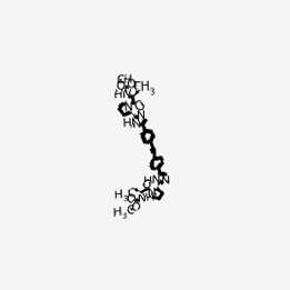 CC[C@H](NC(=O)OC)C(=O)N1CCC[C@H]1c1ncc(-c2ccc(C#Cc3ccc(-c4cnc([C@@H]5CCCN5C(=O)[C@H](CC)NC(=O)OC)[nH]4)cc3)cc2)[nH]1